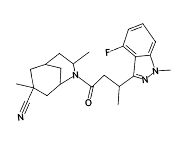 CC(CC(=O)N1C(C)CC2CC1CC(C)(C#N)C2)c1nn(C)c2cccc(F)c12